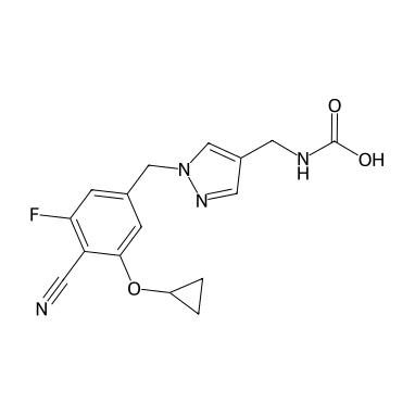 N#Cc1c(F)cc(Cn2cc(CNC(=O)O)cn2)cc1OC1CC1